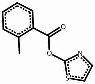 Cc1ccccc1C(=O)Oc1nccs1